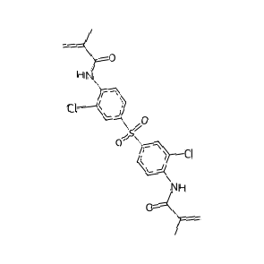 C=C(C)C(=O)Nc1ccc(S(=O)(=O)c2ccc(NC(=O)C(=C)C)c(Cl)c2)cc1Cl